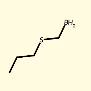 BCSCCC